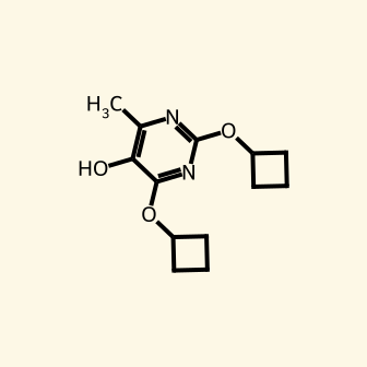 Cc1nc(OC2CCC2)nc(OC2CCC2)c1O